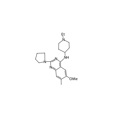 CCN1CCC(Nc2nc(N3CCCC3)nc3cc(C)c(OC)cc23)CC1